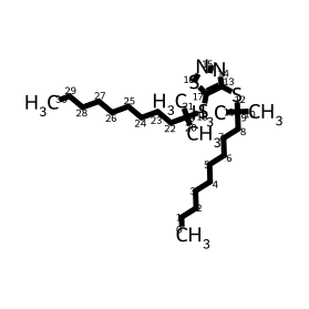 CCCCCCCCCC(C)(C)Sc1nnsc1SC(C)(C)CCCCCCCCC